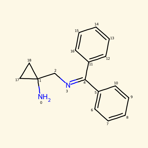 NC1(CN=C(c2ccccc2)c2ccccc2)CC1